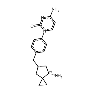 Nc1ccn(-c2ccc(CN3C[C@H](N)C4(CC4)C3)cc2)c(=O)n1